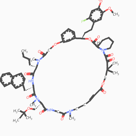 CCCC[C@H]1C(=O)N[C@@H](Cc2ccc3ccccc3c2)C(=O)N(C)[C@@H](COC(C)(C)C)C(=O)NCC(=O)N(C)CC/C=C/C(=O)OCC(C)(C)C(=O)C(=O)N2CCCC[C@H]2C(=O)O[C@H](CCc2cc(OC)c(OC)cc2F)c2cccc(c2)OCC(=O)N1C